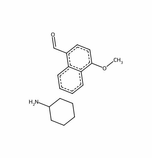 COc1ccc(C=O)c2ccccc12.NC1CCCCC1